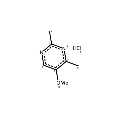 COc1cnc(C)nc1C.Cl